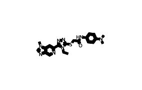 CCn1c(SCC(=O)Nc2ccc(N(C)C)cc2)nnc1-c1cc2c(cn1)ncn2C